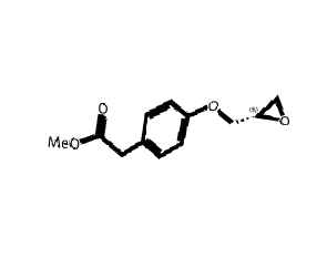 COC(=O)Cc1ccc(OC[C@@H]2CO2)cc1